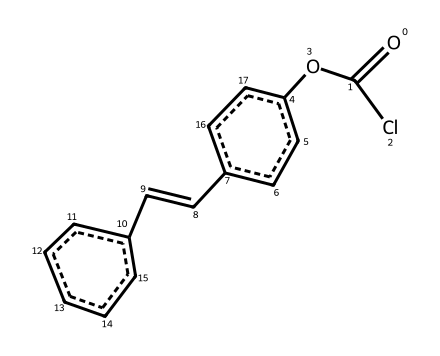 O=C(Cl)Oc1ccc(C=Cc2ccccc2)cc1